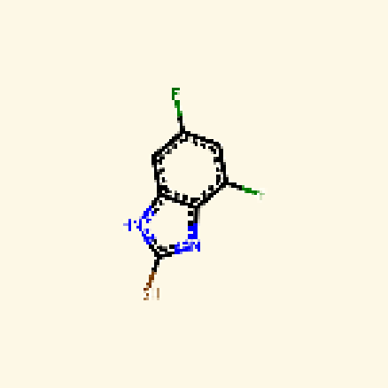 Fc1cc(F)c2nc(S)[nH]c2c1